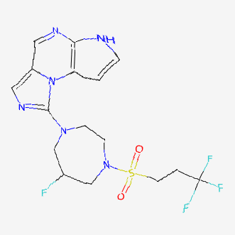 O=S(=O)(CCC(F)(F)F)N1CCN(c2ncc3cnc4[nH]ccc4n23)CC(F)C1